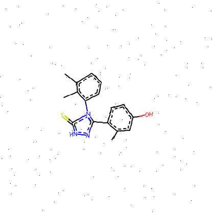 Cc1cc(O)ccc1-c1n[nH]c(=S)n1-c1cccc(C)c1C